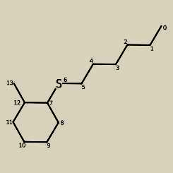 CCCCCCSC1CCCCC1C